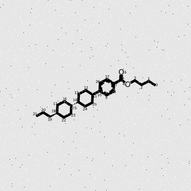 CCCCOC(=O)c1ccc(C2CCC([C@H]3CC[C@H](CCC)CC3)CC2)cc1